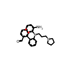 Nc1cccnc1N(CCCN1CCCC1)c1ccccc1-c1ccccc1C=O